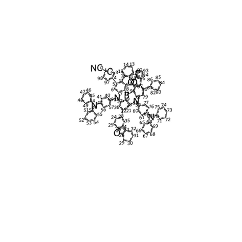 N#Cc1ccc(-c2cc3c(c4oc5ccccc5c24)B2c4c(cc(-c5ccc6oc7ccccc7c6c5)cc4N3c3ccc(N(c4ccccc4)c4ccccc4)cc3)N(c3ccc(N(c4ccccc4)c4ccccc4)cc3)c3cc(-c4ccccc4)c4c(oc5ccccc54)c32)cc1